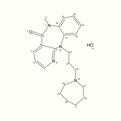 CN1C(=O)c2cccnc2N(CCCN2CCCCCC2)c2ccccc21.Cl